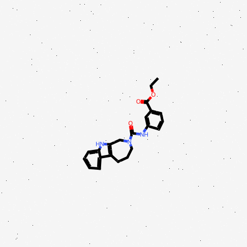 CCOC(=O)c1cccc(NC(=O)N2CCCc3c([nH]c4ccccc34)C2)c1